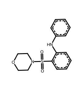 O=S(=O)(c1ccccc1Nc1ccccc1)N1CCOCC1